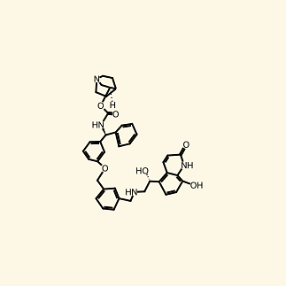 O=C(N[C@@H](c1ccccc1)c1cccc(OCc2cccc(CNC[C@H](O)c3ccc(O)c4[nH]c(=O)ccc34)c2)c1)O[C@H]1CN2CCC1CC2